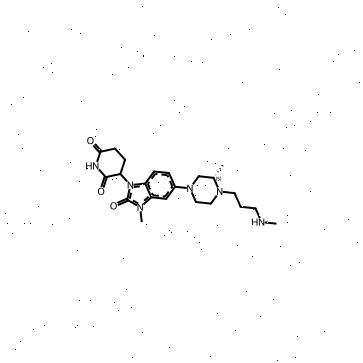 CNCCCN1CCN(c2ccc3c(c2)n(C)c(=O)n3C2CCC(=O)NC2=O)C[C@@H]1C